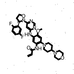 C=CC(=O)Nc1cc(Nc2cc(N3OCC[C@@H]3c3cc(F)ccc3F)ncn2)c(OC)cc1N1CCC(N2CCOCC2)CC1